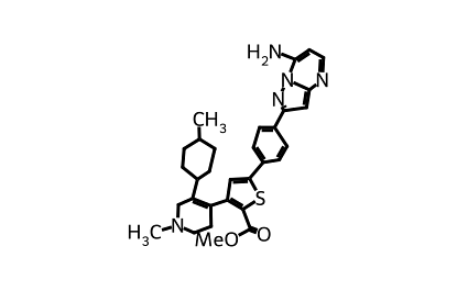 COC(=O)c1sc(-c2ccc(-c3cc4nccc(N)n4n3)cc2)cc1C1=C(C2CCC(C)CC2)CN(C)CC1